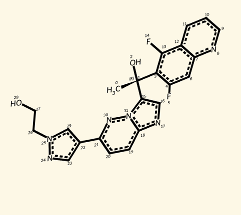 C[C@@](O)(c1c(F)cc2ncccc2c1F)c1cnc2ccc(-c3cnn(CCO)c3)nn12